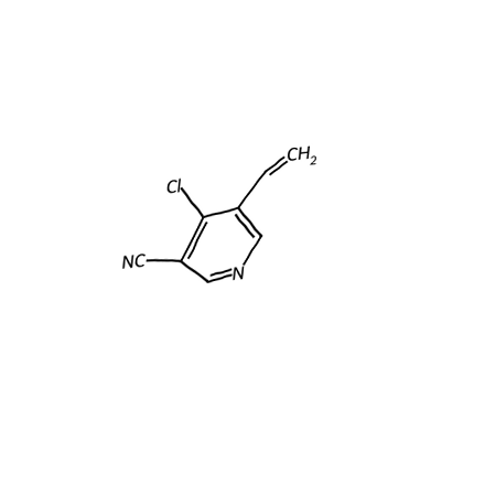 C=Cc1cncc(C#N)c1Cl